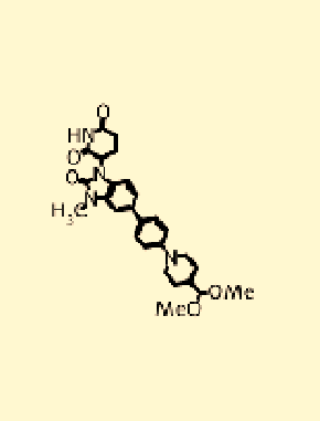 COC(OC)C1CCN(c2ccc(-c3ccc4c(c3)n(C)c(=O)n4C3CCC(=O)NC3=O)cc2)CC1